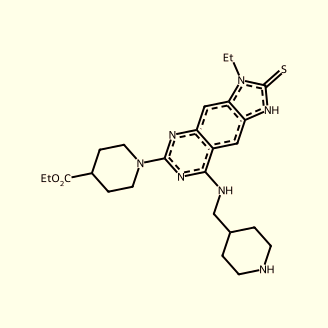 CCOC(=O)C1CCN(c2nc(NCC3CCNCC3)c3cc4[nH]c(=S)n(CC)c4cc3n2)CC1